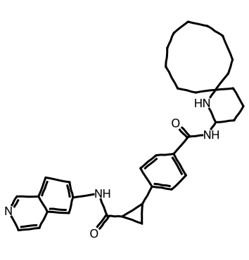 O=C(NC1CCCC2(CCCCCCCCCC2)N1)c1ccc(C2CC2C(=O)Nc2ccc3cnccc3c2)cc1